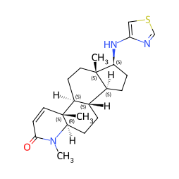 CN1C(=O)C=C[C@]2(C)[C@H]3CC[C@]4(C)[C@@H](Nc5cscn5)CC[C@H]4[C@@H]3CC[C@@H]12